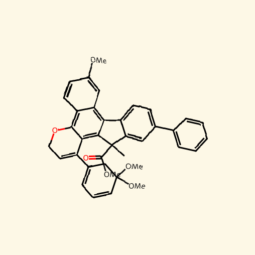 COC(=O)C1(C)c2cc(-c3ccccc3)ccc2-c2c1c1c(c3ccc(OC)cc23)OCC=C1C1=CC=CC(OC)(OC)C1